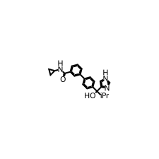 CC(C)C(O)(c1ccc(-c2cccc(C(=O)NC3CC3)c2)cc1)c1c[nH]cn1